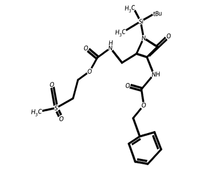 CC(C)(C)[Si](C)(C)N1C(=O)C(NC(=O)OCc2ccccc2)C1CNC(=O)OCCS(C)(=O)=O